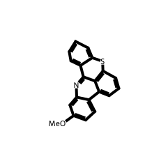 COc1ccc2c(c1)nc1c3c(cccc32)Sc2ccccc2-1